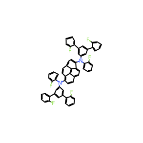 Fc1ccccc1-c1cc(-c2ccccc2F)cc(N(c2ccccc2F)c2ccc3ccc4c(N(c5cc(-c6ccccc6F)cc(-c6ccccc6F)c5)c5ccccc5F)ccc5ccc2c3c54)c1